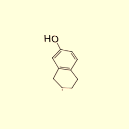 Oc1ccc2c(c1)C[CH]CC2